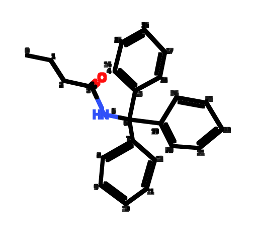 CCCC(=O)NC(c1ccccc1)(c1ccccc1)c1ccccc1